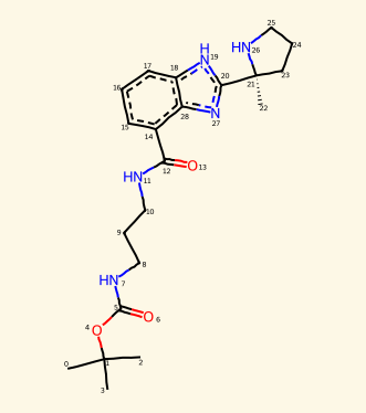 CC(C)(C)OC(=O)NCCCNC(=O)c1cccc2[nH]c([C@]3(C)CCCN3)nc12